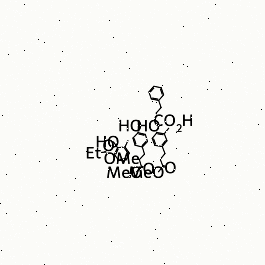 CCC(=O)OC.COC(=O)CCc1ccc(O)c(C)c1.COC(=O)CCc1ccc(O)cc1.Cc1ccccc1O.O=C(O)CCc1ccccc1